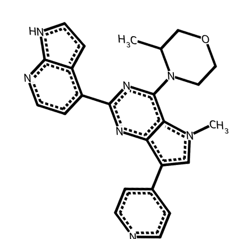 CC1COCCN1c1nc(-c2ccnc3[nH]ccc23)nc2c(-c3ccncc3)cn(C)c12